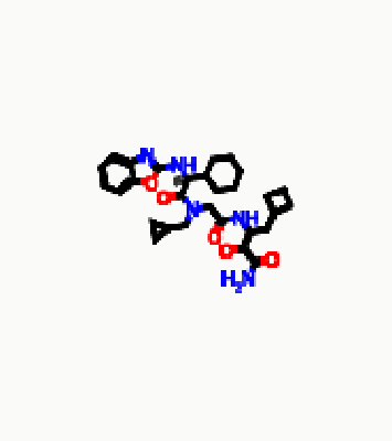 NC(=O)C(=O)C(CC1CCC1)NC(=O)CN(CC1CC1)C(=O)[C@@H](Nc1nc2ccccc2o1)C1CCCCC1